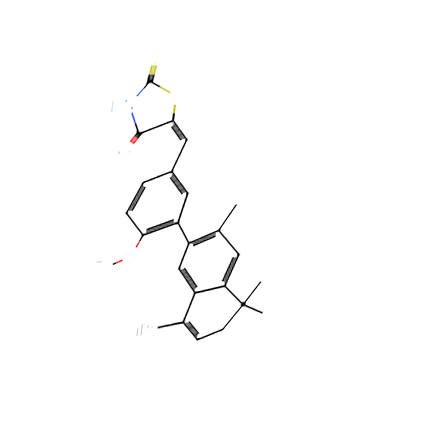 CCOc1ccc(/C=C2/SC(=S)NC2=O)cc1-c1cc2c(cc1C)C(C)(C)CC=C2C(C)C